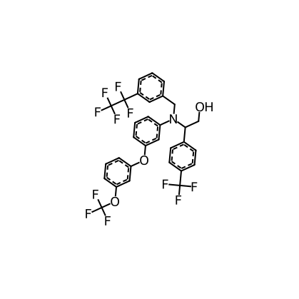 OCC(c1ccc(C(F)(F)F)cc1)N(Cc1cccc(C(F)(F)C(F)(F)F)c1)c1cccc(Oc2cccc(OC(F)(F)F)c2)c1